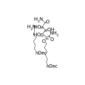 CCCCCCCCCCCCCCCCN.CCCCCCCCCCCCCCCCO[C@@H](C(N)=O)[C@@H](O)[C@H](O)[C@H](O)C(N)=O